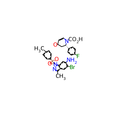 Cc1ccc(S(=O)(=O)n2nc(C)c3cc(Br)c(N)cc32)cc1.O=C1C=CN(C(=O)O)[C@H](c2ccc(F)cc2)C1